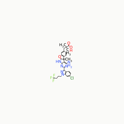 CC(C)(Cc1ccc([C@]2(C)C(=O)Nc3nc(-c4nn(CCCC(F)(F)F)c5cc(Cl)ccc45)nc(N)c32)cc1)C(=O)O